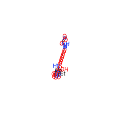 CCc1c2c(nc3ccc(O)cc13)-c1cc3c(c(=O)n1C2)COC(=O)C3(CC)OC(=O)OCC(NC(=O)COCC(=O)NCCOCOCOCOCOCOCOCOCCn1cc(CNC(=O)C2CCC(CN3C(=O)C=CC3=O)CC2)nn1)C(C)C